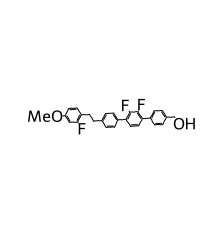 COc1ccc(CCc2ccc(-c3ccc(-c4ccc(CO)cc4)c(F)c3F)cc2)c(F)c1